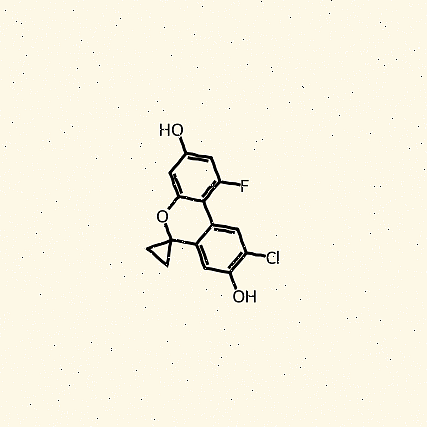 Oc1cc(F)c2c(c1)OC1(CC1)c1cc(O)c(Cl)cc1-2